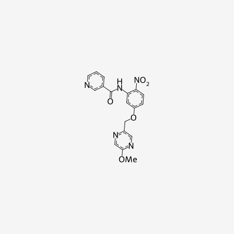 COc1cnc(COc2ccc([N+](=O)[O-])c(NC(=O)c3cccnc3)c2)cn1